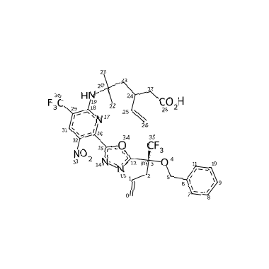 C=CC[C@@](OCc1ccccc1)(c1nnc(-c2nc(NC(C)(C)CC(C=C)CC(=O)O)c(C(F)(F)F)cc2[N+](=O)[O-])o1)C(F)(F)F